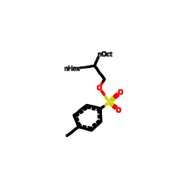 CCCCCCCCC(CCCCCC)COS(=O)(=O)c1ccc(C)cc1